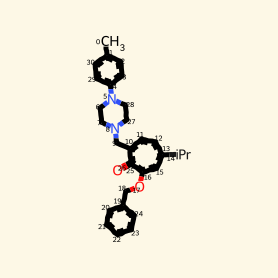 Cc1ccc(N2CCN(Cc3ccc(C(C)C)cc(OCc4ccccc4)c3=O)CC2)cc1